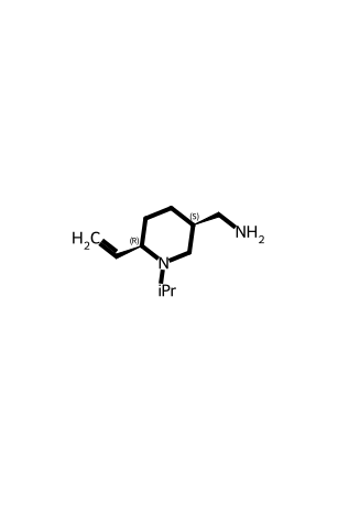 C=C[C@H]1CC[C@@H](CN)CN1C(C)C